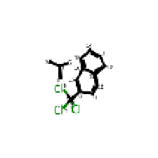 CC(C)C.ClC(Cl)(Cl)c1ccc2ccccc2c1